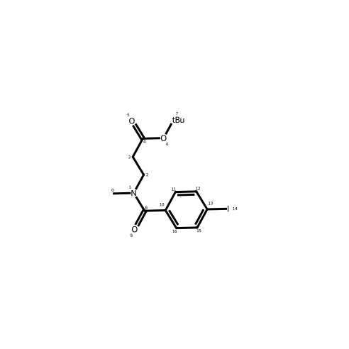 CN(CCC(=O)OC(C)(C)C)C(=O)c1ccc(I)cc1